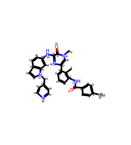 Cc1c(NC(=O)c2ccc(C(C)(C)C)cc2)cccc1-c1cn(C)c(=O)c(Nc2ccc3ccn(Cc4ccncc4)c3c2)n1